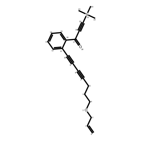 C=CCOCCCC#CC#Cc1ccccc1C(=O)C#C[Si](C)(C)C